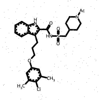 CC(=O)N1CCC(CS(=O)(=O)NC(=O)c2[nH]c3ccccc3c2CCCOc2cc(C)c(Cl)c(C)c2)CC1